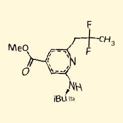 CC[C@H](C)Nc1cc(C(=O)OC)cc(CC(C)(F)F)n1